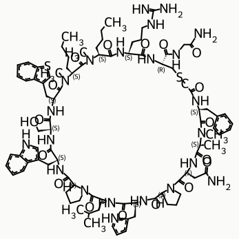 CCCC[C@H]1C(=O)N(C)[C@@H](CCCC)C(=O)N[C@@H](CCCNC(=N)N)C(=O)N[C@H](C(=O)NCC(N)=O)CSCC(=O)N[C@@H](Cc2ccccc2)C(=O)N(C)[C@@H](C)C(=O)N[C@@H](CC(N)=O)C(=O)N2CCC[C@H]2C(=O)N[C@@H](Cc2ccc[nH]2)C(=O)N[C@@H](CC(C)C)C(=O)N2CCC[C@H]2C(=O)N[C@@H](Cc2c[nH]c3ccccc23)C(=O)N[C@@H](CO)C(=O)N[C@@H](Cc2csc3ccccc23)C(=O)N1C